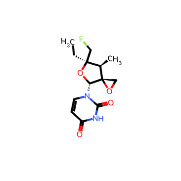 CC[C@@]1(CF)O[C@@H](n2ccc(=O)[nH]c2=O)[C@]2(CO2)[C@@H]1C